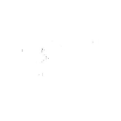 CCCCCCCCCCCCCCCCCCN(CSP(OCCCC)OCC(CC)CCCC)CSP(=S)(OCCCC)OCC(CC)CCCC